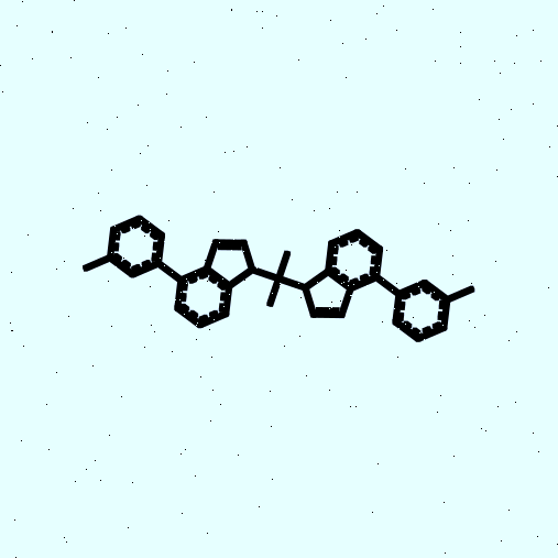 Cc1cccc(-c2cccc3c2C=CC3C(C)(C)C2C=Cc3c(-c4cccc(C)c4)cccc32)c1